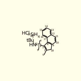 CC1=[C]([Ti]([CH3])([CH3])[NH]C(C)(C)C)c2c(ccc3ccccc23)C1.Cl.[SiH4]